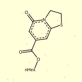 CCCCCCOC(=O)c1cc2n(c(=O)c1)CCS2